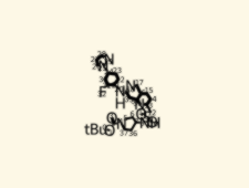 CC(C)(C)OC(=O)N1CCC(NS(=O)(=O)Cc2ccc3cnc(Nc4ccc(-n5cccn5)cc4F)cc3n2)CC1